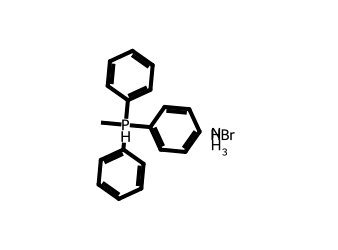 Br.C[PH](c1ccccc1)(c1ccccc1)c1ccccc1.N